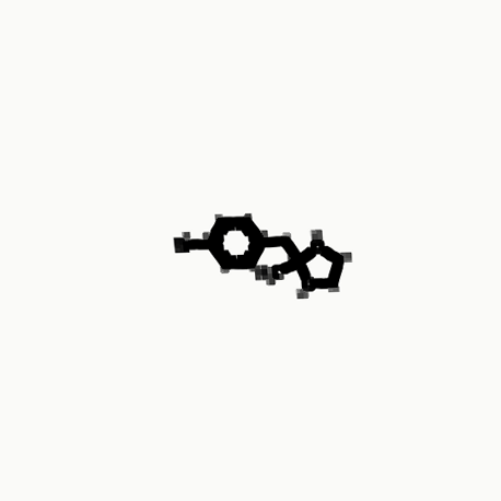 CC1(Cc2ccc(Br)cc2)OCCO1